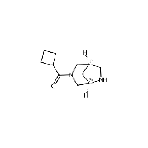 O=C(C1CCC1)N1C[C@H]2CN[C@H](C2)C1